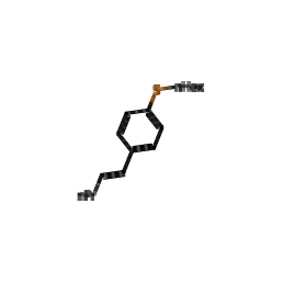 [CH2]CCC=Cc1ccc(SCCCCCC)cc1